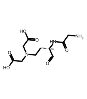 NCC(=O)N[C@H](C=O)CCN(CC(=O)O)CC(=O)O